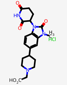 Cl.Cn1c(=O)n(C2CCC(=O)NC2=O)c2ccc(C3CCN(CC(=O)O)CC3)cc21